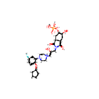 O=C1C2CC(O)C(OP(=O)(O)O)CC2C(=O)N1CC(O)CN1CCN(c2cc(F)ccc2OC2CCCC2)CC1